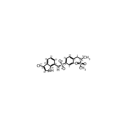 CN(Cc1ccc(S(=O)(=O)Nc2cccc3c(Cl)c[nH]c23)cc1)S(C)(=O)=O